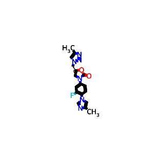 Cc1cn(-c2ccc(N3C[C@H](Cn4cc(C)nn4)OC3=O)cc2F)cn1